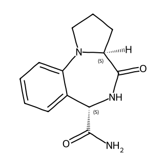 NC(=O)[C@H]1NC(=O)[C@@H]2CCCN2c2ccccc21